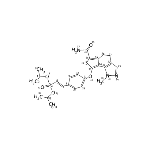 CC(C)OP(=O)(C=Cc1ccc(Oc2sc(C(N)=O)c3c2-c2c(cnn2C)CC3)cc1)OC(C)C